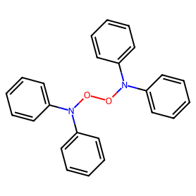 c1ccc(N(OON(c2ccccc2)c2ccccc2)c2ccccc2)cc1